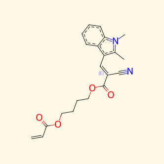 C=CC(=O)OCCCCOC(=O)/C(C#N)=C/c1c(C)n(C)c2ccccc12